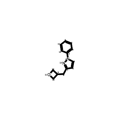 c1ccc(-n2ccc(CC3COC3)n2)cc1